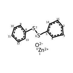 [O-2].[Zn+2].c1ccc(SSc2ccccc2)cc1